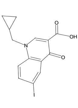 O=C(O)c1cn(CC2CC2)c2ccc(I)cc2c1=O